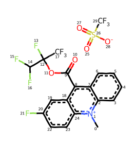 C[n+]1c2ccccc2c(C(=O)OC(F)(C(F)F)C(F)(F)F)c2cc(F)ccc21.O=S(=O)([O-])C(F)(F)F